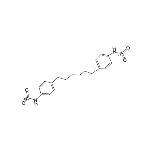 O=[SH](=O)Nc1ccc(CCCCCCc2ccc(N[SH](=O)=O)cc2)cc1